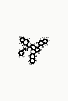 c1ccc(-c2nc(-c3ccc4c(-c5ccc6ccccc6c5)ccc(-c5ccc6ccccc6c5)c4c3)c3ccc4ccccc4c3n2)cc1